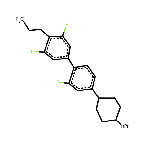 CCCC1CCC(c2ccc(-c3cc(F)c(CCC(F)(F)F)c(F)c3)c(F)c2)CC1